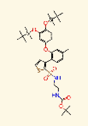 Cc1ccc(-c2ccsc2S(=O)(=O)NCCNC(=O)OC(C)(C)C)c(Oc2ccc(O[Si](C)(C)C(C)(C)C)c(O[Si](C)(C)C(C)(C)C)c2)c1